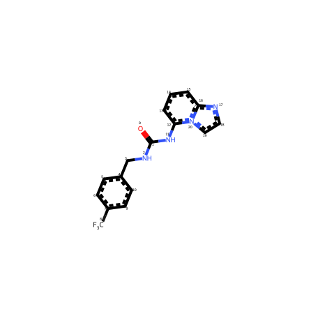 O=C(NCc1ccc(C(F)(F)F)cc1)Nc1cccc2nccn12